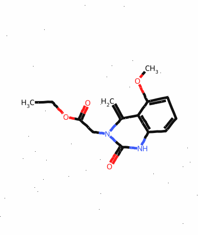 C=C1c2c(cccc2OC)NC(=O)N1CC(=O)OCC